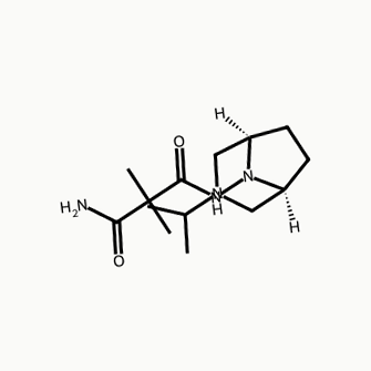 CC(C)N1C[C@H]2CC[C@@H](C1)N2NC(=O)C(C)(C)C(N)=O